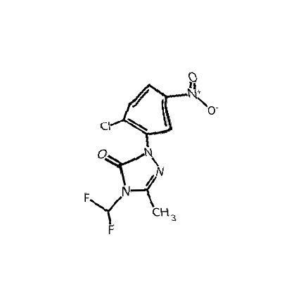 Cc1nn(-c2cc([N+](=O)[O-])ccc2Cl)c(=O)n1C(F)F